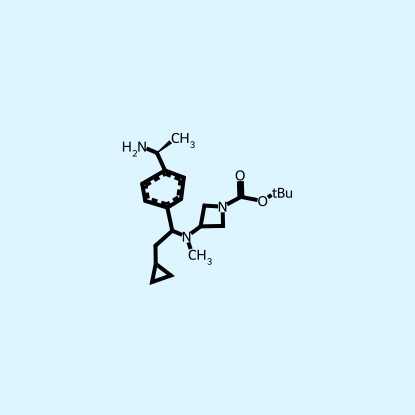 C[C@H](N)c1ccc(C(CC2CC2)N(C)C2CN(C(=O)OC(C)(C)C)C2)cc1